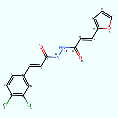 O=C(/C=C/c1ccc(Cl)c(Cl)c1)NNC(=O)/C=C/c1ccco1